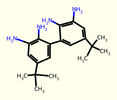 CC(C)(C)c1cc(N)c(N)c(-c2cc(C(C)(C)C)cc(N)c2N)c1